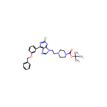 CC(C)(C)OC(=O)N1CCN(CCn2cnc3c(-c4cccc(OCc5ccccc5)c4)nc(Cl)nc32)CC1